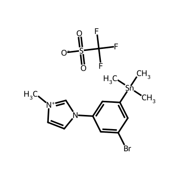 C[n+]1ccn(-c2cc(Br)c[c]([Sn]([CH3])([CH3])[CH3])c2)c1.O=S(=O)([O-])C(F)(F)F